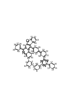 c1ccc(-c2cccc(-c3nc(-c4ccccc4)nc(-c4cccc(-c5ccc(-c6c7c(cc8c(-c9ccccc9)nc9ccccc9c68)oc6ccccc67)cc5)c4)n3)c2)cc1